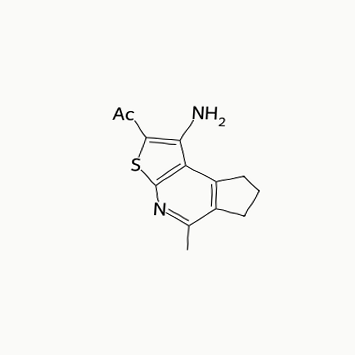 CC(=O)c1sc2nc(C)c3c(c2c1N)CCC3